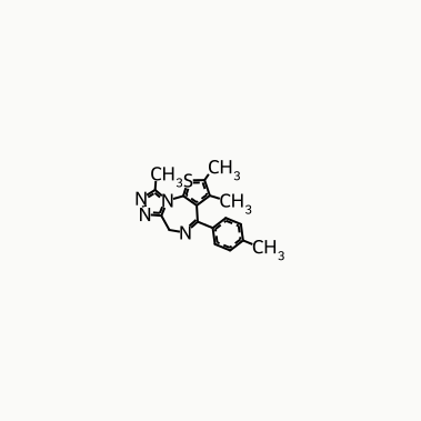 Cc1ccc(C2=NCc3nnc(C)n3-c3sc(C)c(C)c32)cc1